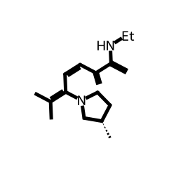 C=C(/C=C\C(=C(C)C)N1CC[C@H](C)C1)C(=C)NCC